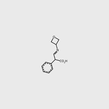 O=C(O)C(/C=N/C1COC1)c1ccccc1